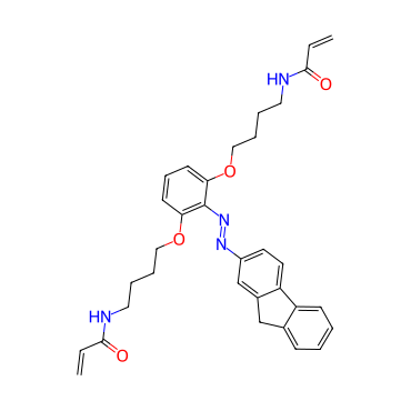 C=CC(=O)NCCCCOc1cccc(OCCCCNC(=O)C=C)c1N=Nc1ccc2c(c1)Cc1ccccc1-2